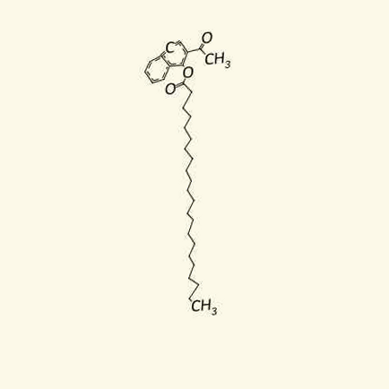 CCCCCCCCCCCCCCCCCCCCCC(=O)Oc1c(C(C)=O)ccc2ccccc12